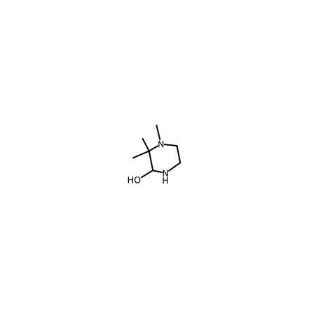 CN1CCNC(O)C1(C)C